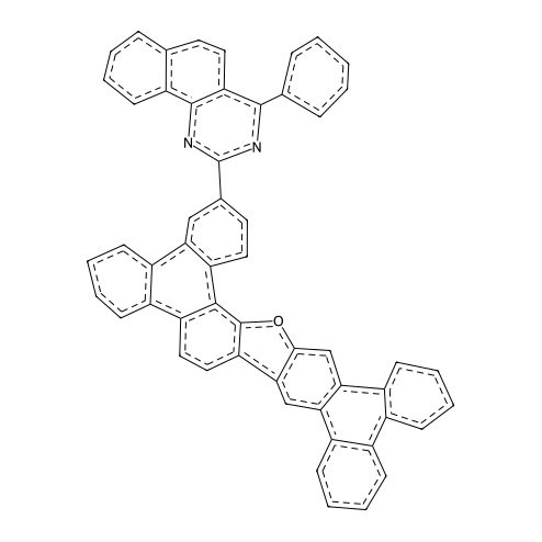 c1ccc(-c2nc(-c3ccc4c(c3)c3ccccc3c3ccc5c6cc7c8ccccc8c8ccccc8c7cc6oc5c34)nc3c2ccc2ccccc23)cc1